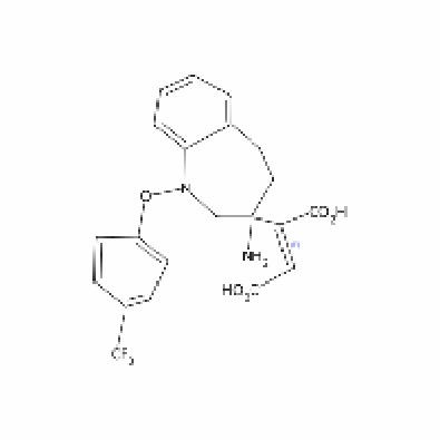 NC1(/C(=C\C(=O)O)C(=O)O)CCc2ccccc2N(Oc2ccc(C(F)(F)F)cc2)C1